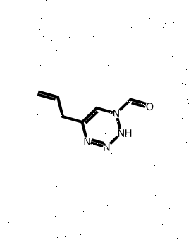 C=CCC1=CN(C=O)NN=N1